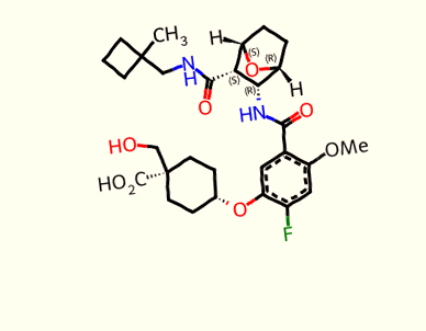 COc1cc(F)c(O[C@H]2CC[C@@](CO)(C(=O)O)CC2)cc1C(=O)N[C@@H]1[C@H](C(=O)NCC2(C)CCC2)[C@@H]2CC[C@H]1O2